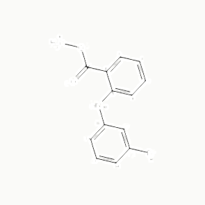 COC(=O)c1ccccc1Nc1cccc(Br)c1